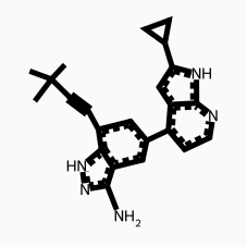 CC(C)(C)C#Cc1cc(-c2ccnc3[nH]c(C4CC4)cc23)cc2c(N)n[nH]c12